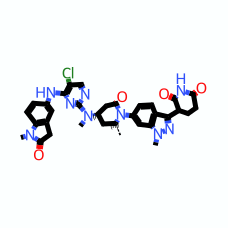 C[C@@H]1C[C@@H](N(C)c2ncc(Cl)c(Nc3ccc4c(c3)CC(=O)N4C)n2)CC(=O)N1c1ccc2c(C3CCC(=O)NC3=O)nn(C)c2c1